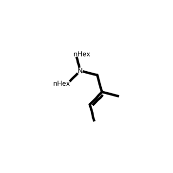 CC=C(C)CN(CCCCCC)CCCCCC